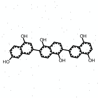 Oc1ccc2c(O)cc(-c3ccc4c(O)c(-c5ccc6c(O)ccc(O)c6c5)ccc4c3O)cc2c1